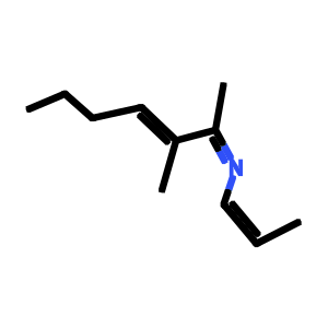 C\C=C/N=C(C)\C(C)=C\CCC